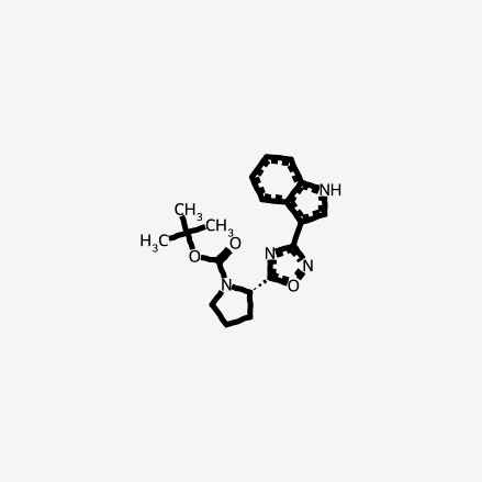 CC(C)(C)OC(=O)N1CCC[C@H]1c1nc(-c2c[nH]c3ccccc23)no1